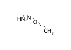 CCCCOCN1CCNC1